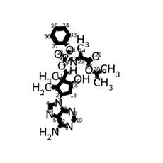 C=C1[C@@H](n2cnc3c(N)ncnc32)C[C@H](O)[C@@]1(C)COP(=O)(NC(C)C(=O)OC(C)C)Oc1ccccc1